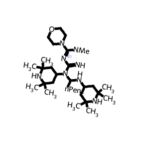 CCCCCC(NC1CC(C)(C)NC(C)(C)C1)N(C(=N)/N=C(\NC)N1CCOCC1)C1CC(C)(C)NC(C)(C)C1